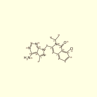 Cc1nn(Cc2cc3cccc(Cl)c3c(=O)n2C(C)C)c2ncnc(N)c12